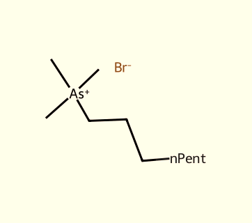 CCCCCCCC[As+](C)(C)C.[Br-]